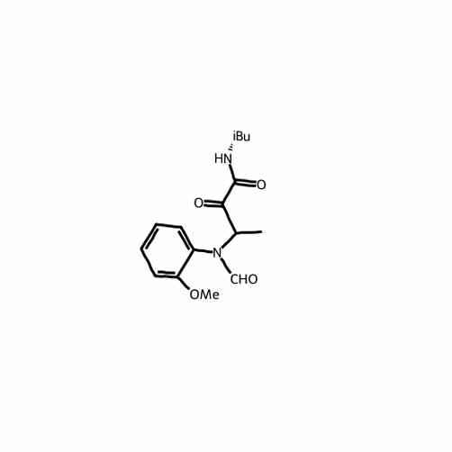 CC[C@@H](C)NC(=O)C(=O)C(C)N(C=O)c1ccccc1OC